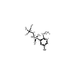 COc1ncc(Br)cc1S(=O)(=O)NCC(F)(F)F